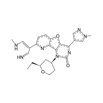 CC[C@H]1C[C@@H](n2c(=O)nc(-c3cnn(C)c3)c3oc4ccc(/C(C=N)=C/NC)nc4c32)CCO1